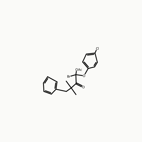 CC(=O)OC(Br)(Oc1ccc(Cl)cc1)C(=O)C(C)(C)Cc1ccccc1